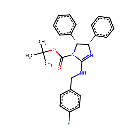 CC(C)(C)OC(=O)N1C(NCc2ccc(F)cc2)=N[C@@H](c2ccccc2)[C@H]1c1ccccc1